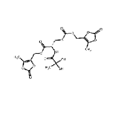 Cc1oc(=O)oc1COC(=O)SC[C@H](NC(=O)C(C)(C)S)C(=O)OCc1oc(=O)oc1C